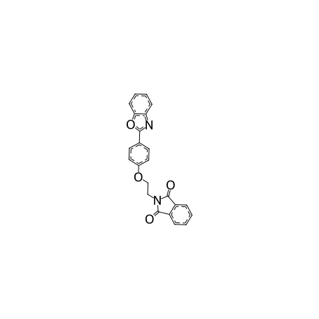 O=C1c2ccccc2C(=O)N1CCOc1ccc(-c2nc3ccccc3o2)cc1